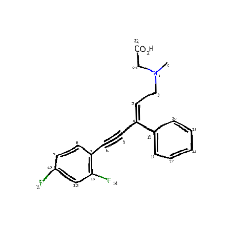 CN(C/C=C(/C#Cc1ccc(F)cc1F)c1ccccc1)CC(=O)O